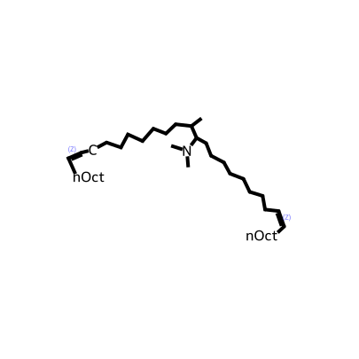 CCCCCCCC/C=C\CCCCCCCCC(C)C(CCCCCCCC/C=C\CCCCCCCC)N(C)C